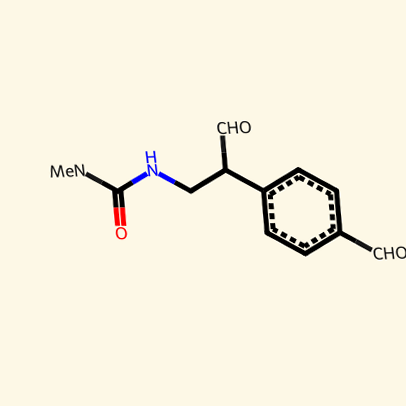 CNC(=O)NCC(C=O)c1ccc(C=O)cc1